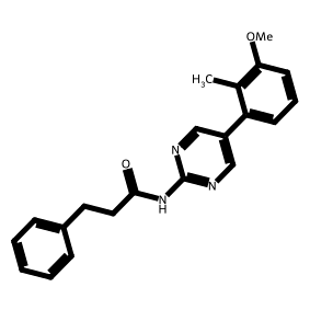 COc1cccc(-c2cnc(NC(=O)CCc3ccccc3)nc2)c1C